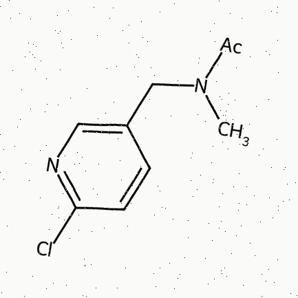 CC(=O)N(C)Cc1ccc(Cl)nc1